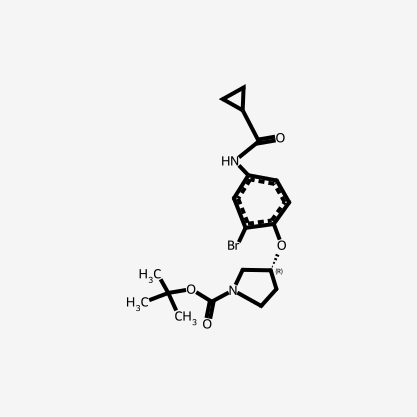 CC(C)(C)OC(=O)N1CC[C@@H](Oc2ccc(NC(=O)C3CC3)cc2Br)C1